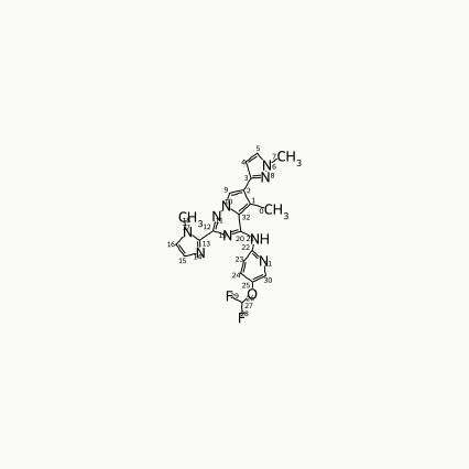 Cc1c(-c2ccn(C)n2)cn2nc(-c3nccn3C)nc(Nc3ccc(OC(F)F)cn3)c12